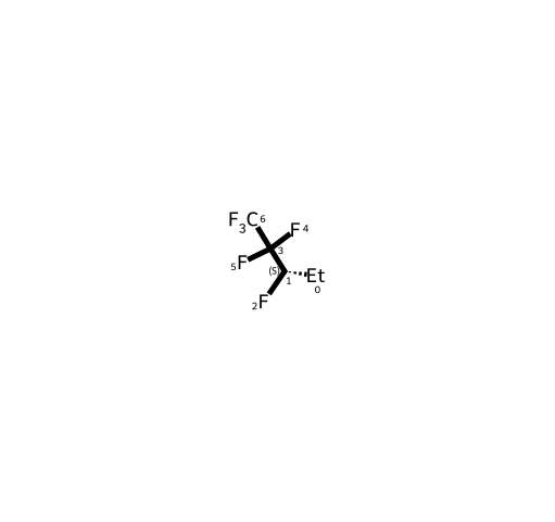 [CH2]C[C@H](F)C(F)(F)C(F)(F)F